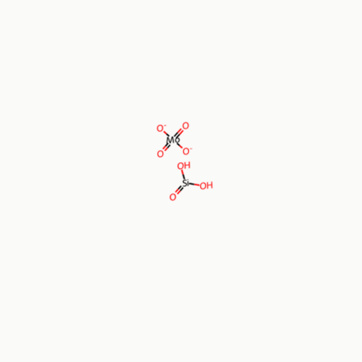 O=[Si](O)O.[O]=[Mo](=[O])([O-])[O-]